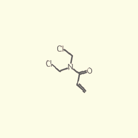 C=CC(=O)N(CCl)CCl